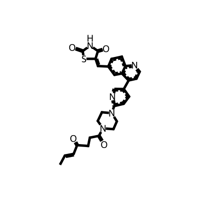 CC=CC(=O)CCC(=O)N1CCN(c2ccc(-c3ccnc4ccc(C=C5SC(=O)NC5=O)cc34)cn2)CC1